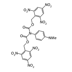 CNc1ccc(N(C(=O)OCc2c([N+](=O)[O-])cc([N+](=O)[O-])cc2[N+](=O)[O-])C(=O)OCc2c([N+](=O)[O-])cc([N+](=O)[O-])cc2[N+](=O)[O-])cc1